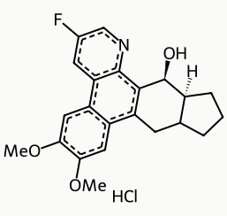 COc1cc2c3c(c4ncc(F)cc4c2cc1OC)[C@@H](O)[C@H]1CCCC1C3.Cl